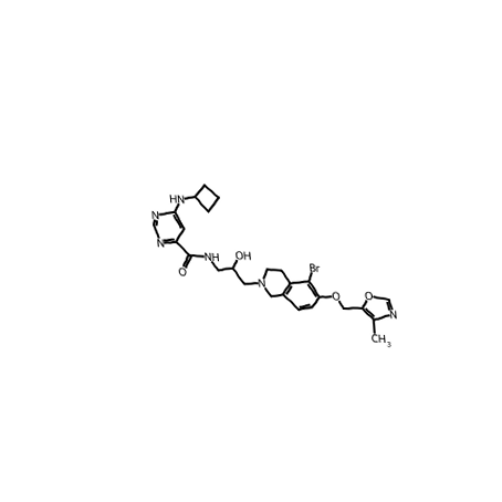 Cc1ncoc1COc1ccc2c(c1Br)CCN(CC(O)CNC(=O)c1cc(NC3CCC3)ncn1)C2